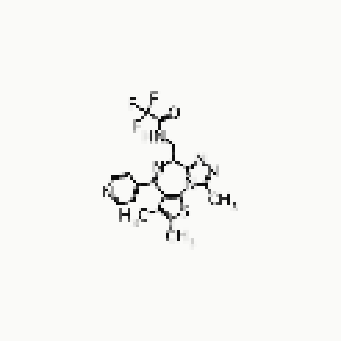 Cc1sc2c(c1C)C(c1ccncc1)=NC(CNC(=O)C(F)(F)F)c1nnc(C)n1-2